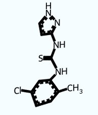 Cc1ccc(Cl)cc1NC(=S)Nc1cc[nH]n1